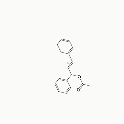 CC(=O)OC(/C=C/C1=CC=CCC1)c1ccccc1